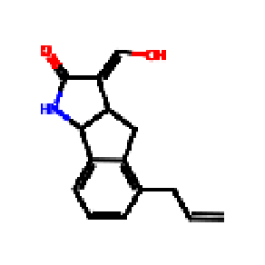 C=CCc1cccc2c1CC1C(=CO)C(=O)NC21